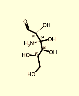 N[C@@](O)([C@@H](O)C=O)[C@@H](O)[C@H](O)CO